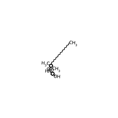 CCCCCCCCCCCCCCCCCCc1cc(C)c(S(=O)(=O)Nc2ccc(O)cc2)cc1C